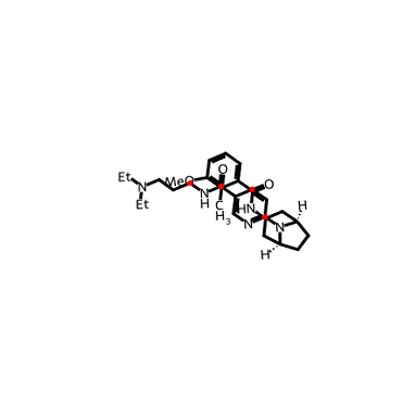 CCN(CC)CCCNC(=O)c1ccc(N2[C@@H]3CC[C@H]2C[C@@H](NC(=O)c2cccc(OC)c2C)C3)nc1